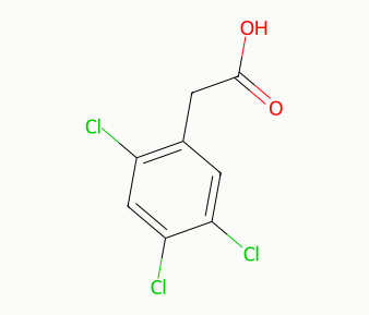 O=C(O)Cc1cc(Cl)c(Cl)cc1Cl